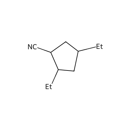 CCC1CC(C#N)C(CC)C1